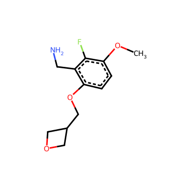 COc1ccc(OCC2COC2)c(CN)c1F